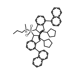 CCC[SiH](C)[Zr]([Cl])([Cl])([CH]1C(CC2CCCC2)=Cc2c(-c3cccc4ccccc34)cccc21)[CH]1C(CC2CCCC2)=Cc2c(-c3cccc4ccccc34)cccc21